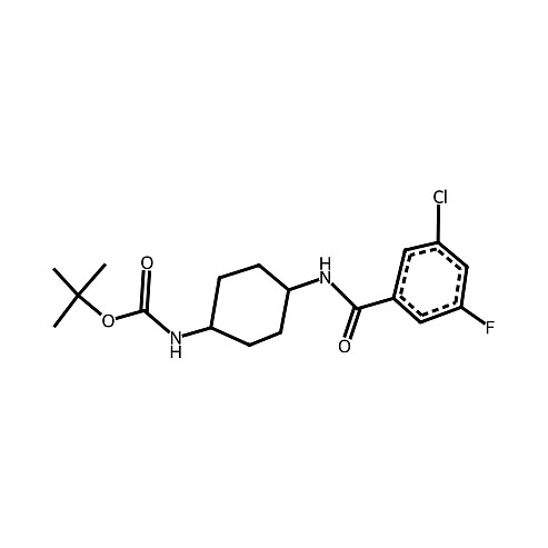 CC(C)(C)OC(=O)NC1CCC(NC(=O)c2cc(F)cc(Cl)c2)CC1